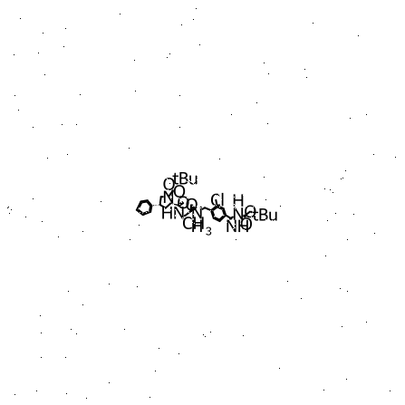 CC(NC(=O)[C@H]1C[C@H](c2ccccc2)CN1C(=O)OC(C)(C)C)C(=O)NCc1ccc(C(=N)NC(=O)OC(C)(C)C)cc1Cl